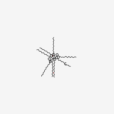 CCCCCCCCCCCCOC(=O)C(CCCCCCCCCCCC)(CCCCCCCCCCCC)C(OCCCCCCCCCCCC)(C(=O)OCCCCCCCCCCCC)C(CCCCCCCCCCCC)(CCCCCCCCCCCC)C(=O)OCCCCCCCCCCCC